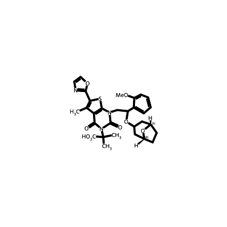 COc1ccccc1C(Cn1c(=O)n(C(C)(C)C(=O)O)c(=O)c2c(C)c(-c3ncco3)sc21)OC1C[C@H]2CC[C@@H](C1)O2